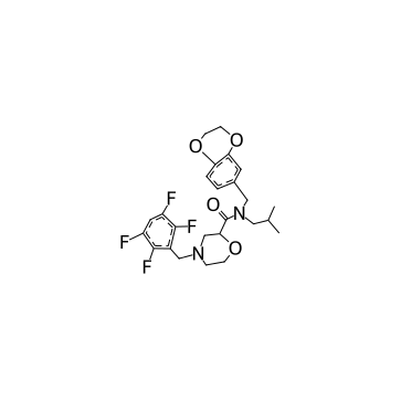 CC(C)CN(Cc1ccc2c(c1)OCCO2)C(=O)C1CN(Cc2c(F)c(F)cc(F)c2F)CCO1